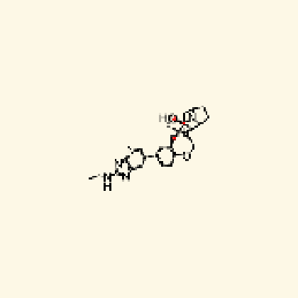 CCNc1nc2ncc(-c3ccc4c(c3)CN(C(=O)N3C5CCC3CC(O)(C(F)(F)F)C5)CCO4)cc2[nH]1